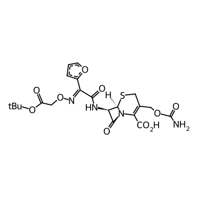 CC(C)(C)OC(=O)CON=C(C(=O)N[C@@H]1C(=O)N2C(C(=O)O)=C(COC(N)=O)CS[C@H]12)c1ccco1